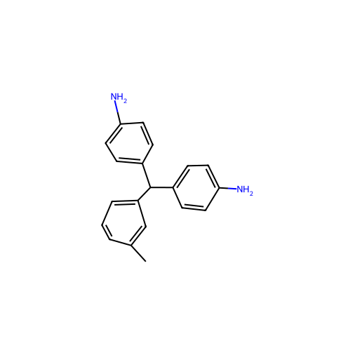 Cc1cccc(C(c2ccc(N)cc2)c2ccc(N)cc2)c1